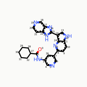 O=C(Nc1cncc(-c2ccc3[nH]cc(-c4nc5cnccc5[nH]4)c3n2)c1)C1CCCCC1